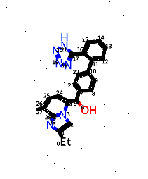 CCc1cn2c(C(O)c3ccc(-c4ccccc4-c4nnn[nH]4)cc3)ccc(C)c2n1